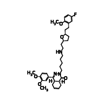 COc1ccc(F)cc1CCC1CCC(CCNCCCCCN2N=C(c3ccc(OC)c(OC)c3)[C@@H]3CC=CC[C@@H]3C2=O)O1